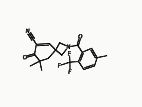 Cc1ccc(C(F)(F)F)c(C(=O)N2CC3(C=C(C#N)C(=O)C(C)(C)C3)C2)c1